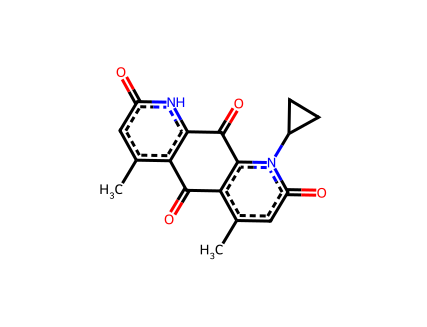 Cc1cc(=O)[nH]c2c1C(=O)c1c(C)cc(=O)n(C3CC3)c1C2=O